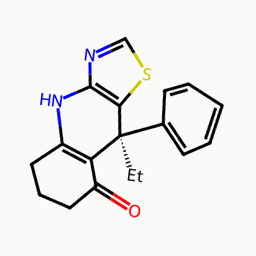 CC[C@]1(c2ccccc2)C2=C(CCCC2=O)Nc2ncsc21